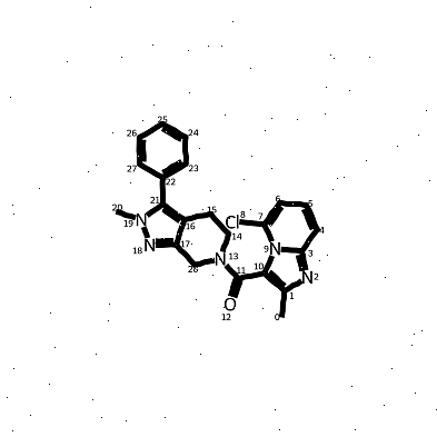 Cc1nc2cccc(Cl)n2c1C(=O)N1CCc2c(nn(C)c2-c2ccccc2)C1